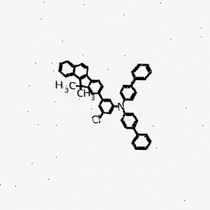 CC1(C)c2cc(-c3cc(Cl)cc(N(c4ccc(-c5ccccc5)cc4)c4ccc(-c5ccccc5)cc4)c3)ccc2-c2ccc3ccccc3c21